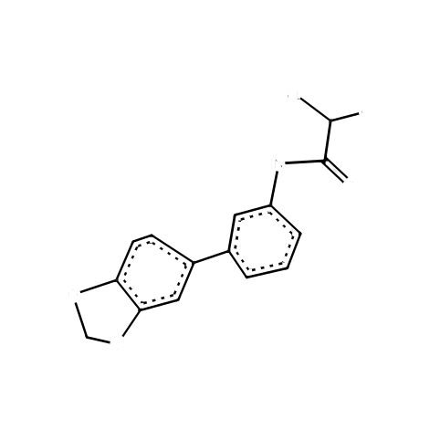 O=C(Nc1cccc(-c2ccc3c(c2)OCO3)c1)C(Cl)Cl